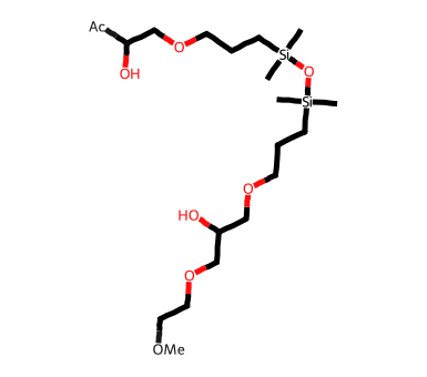 COCCOCC(O)COCCC[Si](C)(C)O[Si](C)(C)CCCOCC(O)C(C)=O